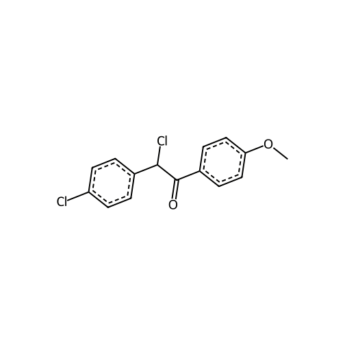 COc1ccc(C(=O)C(Cl)c2ccc(Cl)cc2)cc1